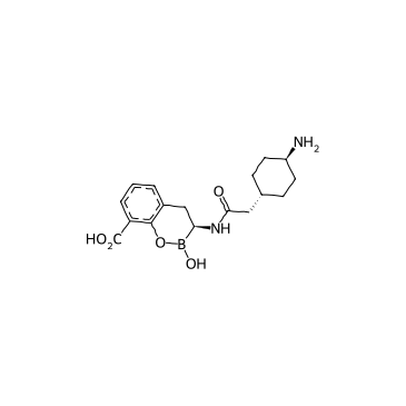 N[C@H]1CC[C@H](CC(=O)N[C@@H]2Cc3cccc(C(=O)O)c3OB2O)CC1